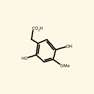 COc1cc(O)c(CC(=O)O)cc1O